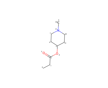 CCC(=O)OC1CCN([11CH3])CC1